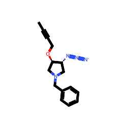 CC#CCO[C@@H]1CN(Cc2ccccc2)C[C@H]1N=[N+]=[N-]